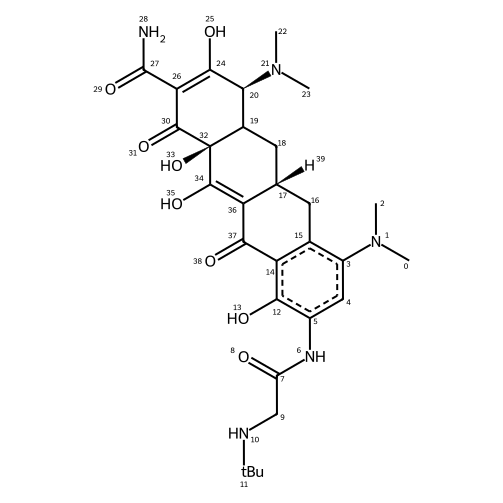 CN(C)c1cc(NC(=O)CNC(C)(C)C)c(O)c2c1C[C@H]1CC3[C@H](N(C)C)C(O)=C(C(N)=O)C(=O)[C@@]3(O)C(O)=C1C2=O